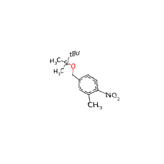 Cc1cc(CO[Si](C)(C)C(C)(C)C)ccc1[N+](=O)[O-]